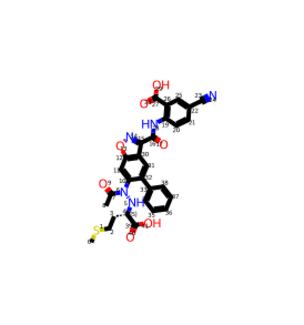 CSCC[C@H](NN(C(C)=O)c1cc2onc(C(=O)Nc3ccc(C#N)cc3C(=O)O)c2cc1-c1ccccc1)C(=O)O